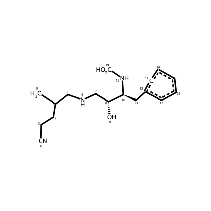 CC(CCC#N)CNC[C@@H](O)[C@H](Cc1ccccc1)NC(=O)O